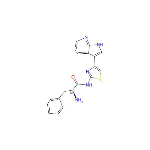 N[C@@H](Cc1ccccc1)C(=O)Nc1nc(-c2c[nH]c3ncccc23)cs1